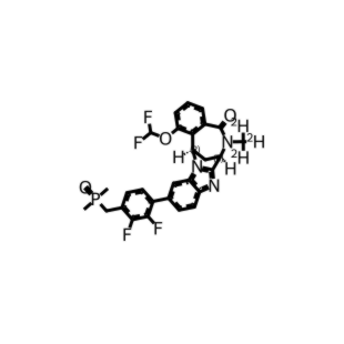 [2H]C([2H])([2H])N1C(=O)c2cccc(OC(F)F)c2[C@H]2C[C@@H]1c1nc3ccc(-c4ccc(CP(C)(C)=O)c(F)c4F)cc3n12